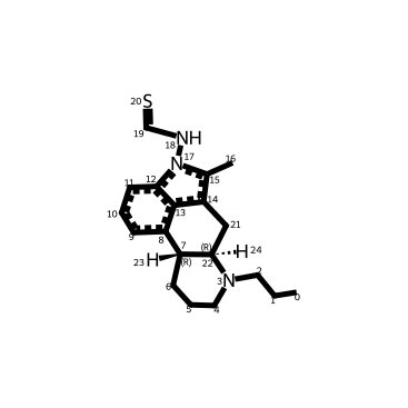 CCCN1CCC[C@@H]2c3cccc4c3c(c(C)n4NC=S)C[C@H]21